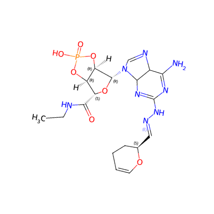 CCNC(=O)[C@H]1O[C@@H](N2C=NC3C(N)=NC(N/N=C/[C@@H]4CCC=CO4)=NC32)[C@@H]2OP(=O)(O)O[C@@H]21